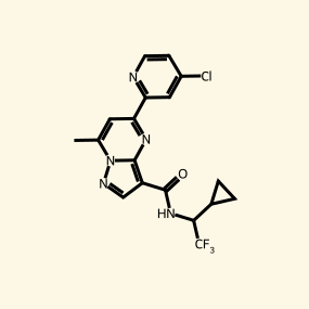 Cc1cc(-c2cc(Cl)ccn2)nc2c(C(=O)NC(C3CC3)C(F)(F)F)cnn12